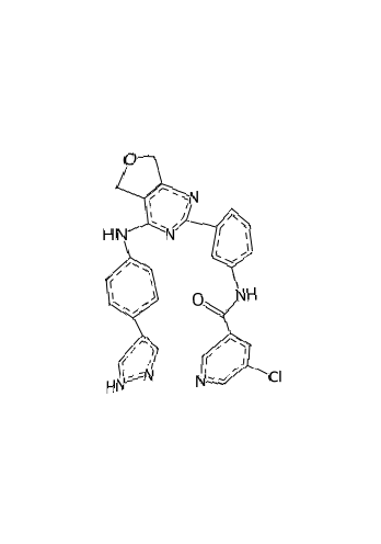 O=C(Nc1cccc(-c2nc3c(c(Nc4ccc(-c5cn[nH]c5)cc4)n2)COC3)c1)c1cncc(Cl)c1